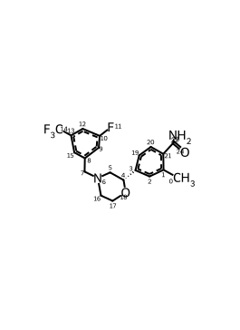 Cc1cc([C@H]2CN(Cc3cc(F)cc(C(F)(F)F)c3)CCO2)ccc1C(N)=O